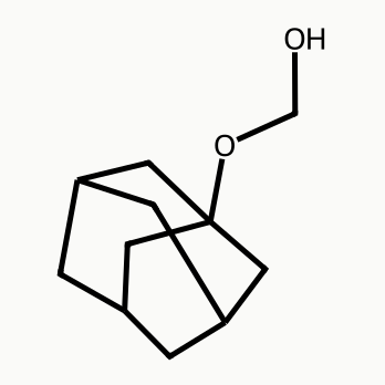 OCOC12CC3CC(CC(C3)C1)C2